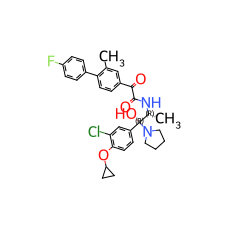 Cc1cc(C(=O)C(=O)N[C@H](C)[C@](O)(c2ccc(OC3CC3)c(Cl)c2)N2CCCC2)ccc1-c1ccc(F)cc1